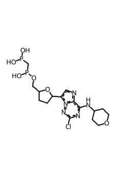 OP(O)CP(O)OCC1CCC(c2cnc3c(NC4CCOCC4)nc(Cl)nn23)O1